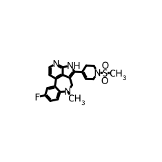 CN1Cc2c(C3=CCN(S(C)(=O)=O)CC3)[nH]c3nccc(c23)-c2cc(F)ccc21